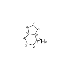 [2H]C1CCCC2CCCC12